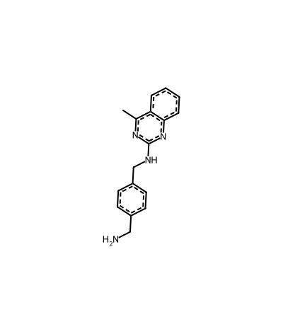 Cc1nc(NCc2ccc(CN)cc2)nc2ccccc12